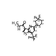 CNC(=O)c1csc2c(C(F)(F)F)cc(N3CC[CH]C(F)(F)C3)nc12